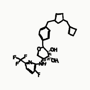 O[C@@H]1[C@@H](Nc2nc(C(F)(F)F)ccc2F)COC(c2ccc(CC3CCC(CC4CCC4)C3)cc2)[C@@H]1O